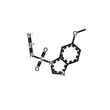 COc1ccc2ncn(S(=O)(=O)N=[N+]=[N-])c2c1